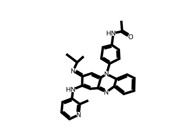 CC(=O)Nc1ccc(-n2c3c/c(=N\C(C)C)c(Nc4cccnc4C)cc-3nc3ccccc32)cc1